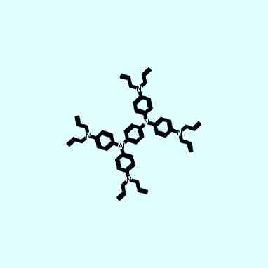 C=CCN(CC=C)c1ccc(N(c2ccc(N(CC=C)CC=C)cc2)c2cc[c]([Al]([c]3ccc(N(CC=C)CC=C)cc3)[c]3ccc(N(CC=C)CC=C)cc3)cc2)cc1